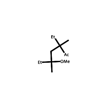 CCC(C)(CC(C)(CC)C(C)=O)OC